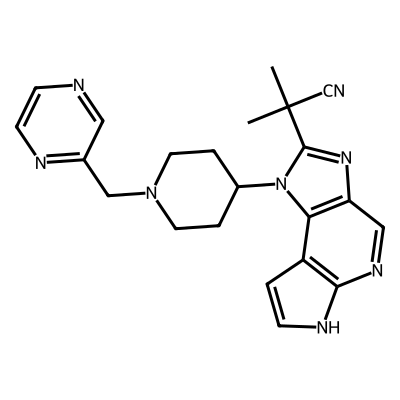 CC(C)(C#N)c1nc2cnc3[nH]ccc3c2n1C1CCN(Cc2cnccn2)CC1